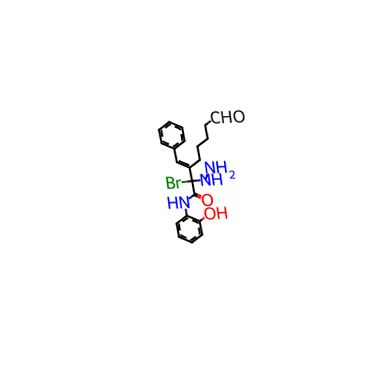 NNC(Br)(C(=O)Nc1ccccc1O)C(=Cc1ccccc1)CCCCC=O